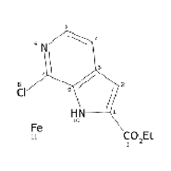 CCOC(=O)c1cc2ccnc(Cl)c2[nH]1.[Fe]